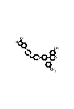 Cc1cccc([C@H]2COc3cc(O)ccc3[C@H]2c2ccc(N3CCC(CN4CCN(c5ccc6c(c5)CNC6=O)CC4)CC3)cc2)c1